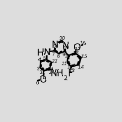 COc1ccc(Nc2cc(-c3cc(F)ccc3OC)ncn2)cc1N